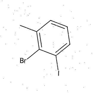 Cc1cccc(I)c1Br